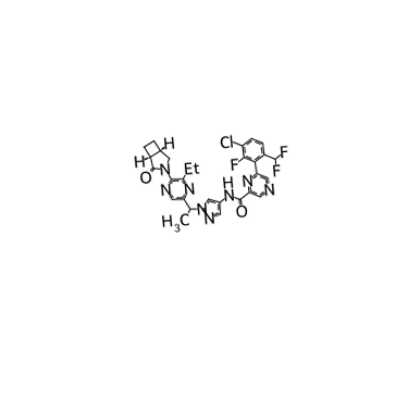 CCc1nc(C(C)n2cc(NC(=O)c3cncc(-c4c(C(F)F)ccc(Cl)c4F)n3)cn2)cnc1N1C[C@H]2CC[C@H]2C1=O